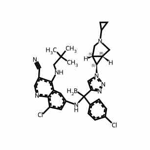 BC(Nc1cc(Cl)c2ncc(C#N)c(NCC(C)(C)C)c2c1)(c1ccc(Cl)cc1)c1cn([C@H]2[C@@H]3CN(C4CC4)C[C@@H]32)nn1